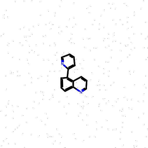 c1ccc(-c2cccc3ncccc23)nc1